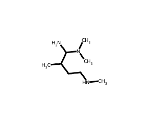 CNCCC(C)C(N)N(C)C